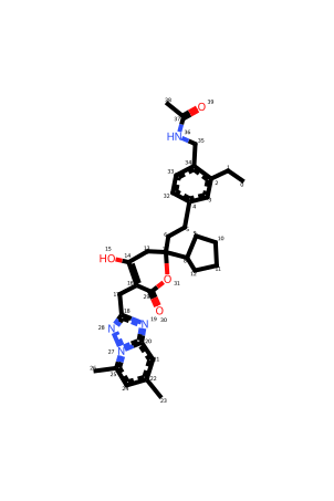 CCc1cc(CCC2(C3CCCC3)CC(O)=C(Cc3nc4cc(C)cc(C)n4n3)C(=O)O2)ccc1CNC(C)=O